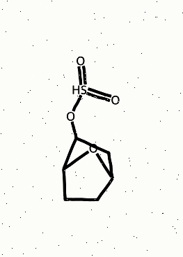 O=[SH](=O)OC1CC2CCC1O2